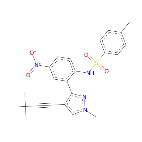 Cc1ccc(S(=O)(=O)Nc2ccc([N+](=O)[O-])cc2-c2nn(C)cc2C#CC(C)(C)C)cc1